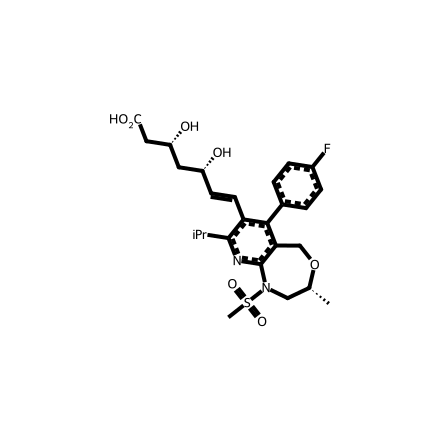 CC(C)c1nc2c(c(-c3ccc(F)cc3)c1/C=C/[C@@H](O)C[C@@H](O)CC(=O)O)CO[C@H](C)CN2S(C)(=O)=O